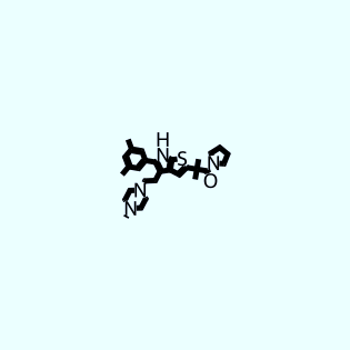 Cc1cc(C)cc(-c2[nH]c3sc(C(C)(C)C(=O)N4CCCC4)cc3c2CCN2CCN(C)CC2)c1